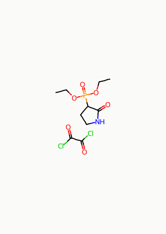 CCOP(=O)(OCC)C1CCNC1=O.O=C(Cl)C(=O)Cl